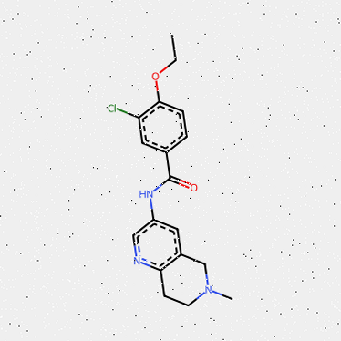 CCOc1ccc(C(=O)Nc2cnc3c(c2)CN(C)CC3)cc1Cl